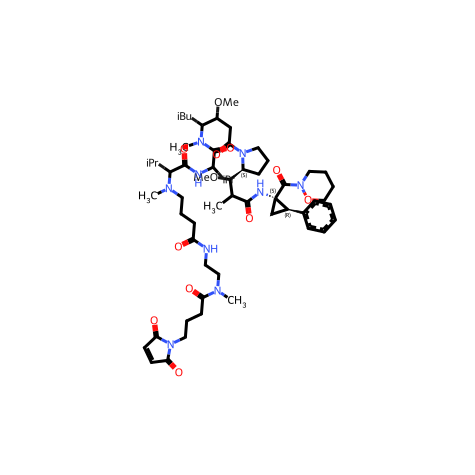 CCC(C)C(C(CC(=O)N1CCC[C@H]1C(OC)C(C)C(=O)N[C@@]1(C(=O)N2CCCCO2)C[C@@H]1c1ccccc1)OC)N(C)C(=O)C(NC(=O)C(C(C)C)N(C)CCCC(=O)NCCN(C)C(=O)CCCN1C(=O)C=CC1=O)C(C)C